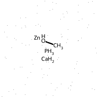 CO.P.[CaH2].[Zn]